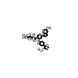 Cc1ncoc1C1CCC(Nc2cc(-c3ccc4cc(C#N)cnn34)ncc2C(=O)NC[C@@H](F)C(C)(C)O)CC1